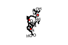 CCC(O)(CC)C(=O)N[C@H]1Cc2ccc3c(c2)C2(c4ccccc4N[C@H]2O3)c2oc(nc2-c2nc(C(=O)O)co2)[C@H](C(C)C)NC1=O